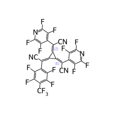 N#CC(=C1C(=C(/C#N)c2c(F)c(F)nc(F)c2F)/C1=C(/C#N)c1c(F)c(F)nc(F)c1F)c1c(F)c(F)c(C(F)(F)F)c(F)c1F